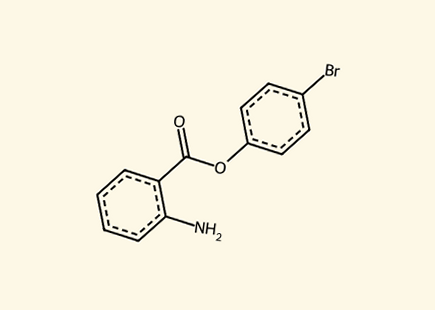 Nc1ccccc1C(=O)Oc1ccc(Br)cc1